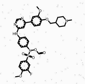 COc1ccc(S(=O)(=O)N(OC=O)c2ccc(Nc3cc(-c4ccc(OCC5CCN(C)CC5)c(OC)c4)ncn3)cc2)cc1F